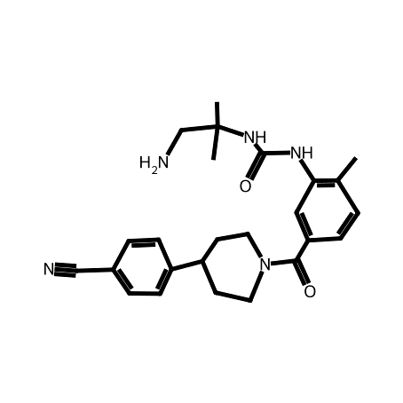 Cc1ccc(C(=O)N2CCC(c3ccc(C#N)cc3)CC2)cc1NC(=O)NC(C)(C)CN